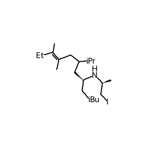 CC/C(C)=C(\C)CC(C[C@H](CC(C)CC)N[C@@H](C)CI)C(C)C